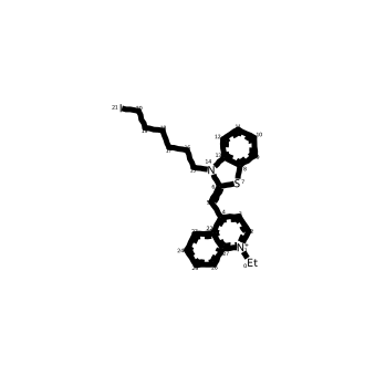 CC[n+]1ccc(/C=C2\Sc3ccccc3N2CCCCCCI)c2ccccc21